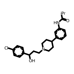 CC(C)C(=O)Nc1cccc(C2CCN(CCC(O)c3ccc(Cl)cc3)CC2)c1